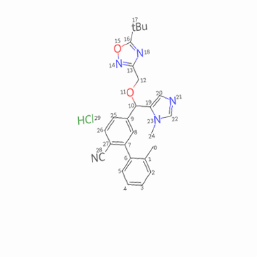 Cc1ccccc1-c1cc(C(OCc2noc(C(C)(C)C)n2)c2cncn2C)ccc1C#N.Cl